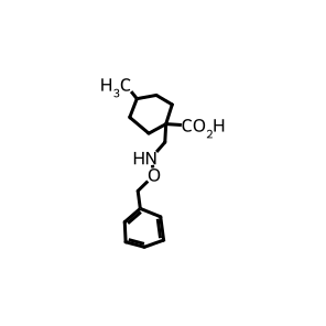 CC1CCC(CNOCc2ccccc2)(C(=O)O)CC1